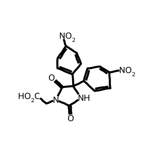 O=C(O)CN1C(=O)NC(c2ccc([N+](=O)[O-])cc2)(c2ccc([N+](=O)[O-])cc2)C1=O